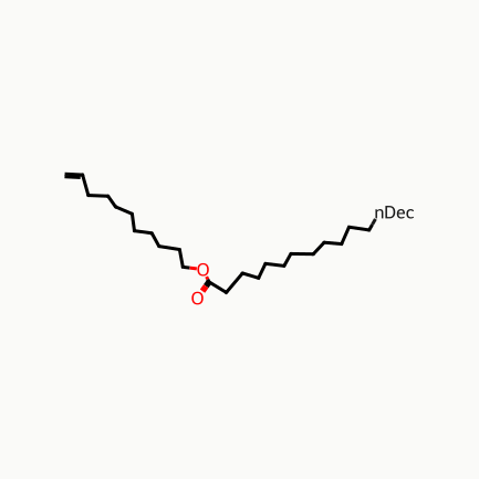 C=CCCCCCCCCCOC(=O)CCCCCCCCCCCCCCCCCCCCC